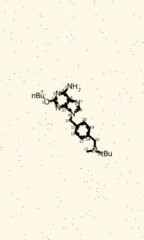 CCCCOc1nc(N)c2ncn(Cc3ccc(CN(C)C(C)(C)C)cc3)c2n1